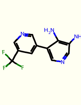 Nc1cncc(-c2cncc(C(F)(F)F)c2)c1N